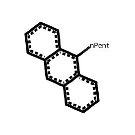 CCCCCc1c2ccccc2cc2ccccc12